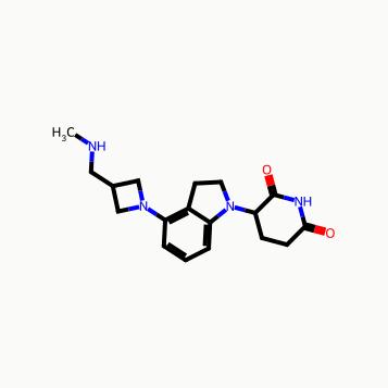 CNCC1CN(c2cccc3c2CCN3C2CCC(=O)NC2=O)C1